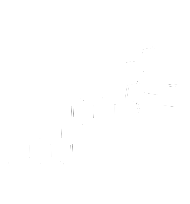 COc1ccc2c(Oc3ccc(NC(=O)c4c(C)n(CC(C)[C@@H](N)C(=O)O)n(-c5ccccc5)c4=O)nc3)ccnc2c1.Cl